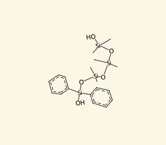 C[Si](C)(O)O[Si](C)(C)O[Si](C)(C)O[Si](O)(c1ccccc1)c1ccccc1